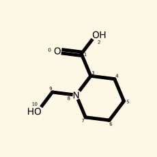 O=C(O)C1CCCCN1CO